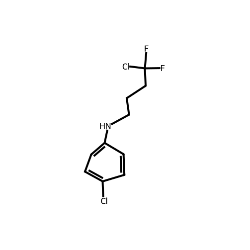 FC(F)(Cl)CCCNc1ccc(Cl)cc1